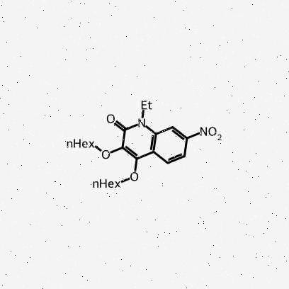 CCCCCCOc1c(OCCCCCC)c2ccc([N+](=O)[O-])cc2n(CC)c1=O